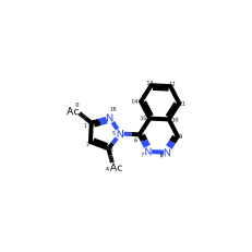 CC(=O)c1cc(C(C)=O)n(-c2nncc3ccccc23)n1